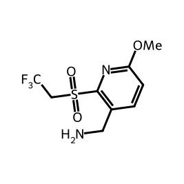 COc1ccc(CN)c(S(=O)(=O)CC(F)(F)F)n1